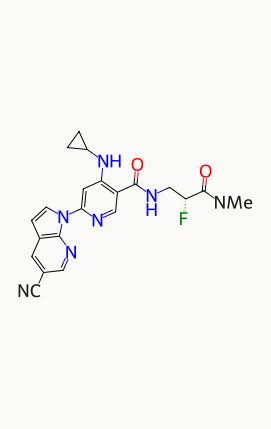 CNC(=O)[C@H](F)CNC(=O)c1cnc(-n2ccc3cc(C#N)cnc32)cc1NC1CC1